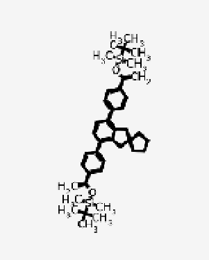 C=C(O[Si](C)(C)C(C)(C)C)c1ccc(-c2ccc(-c3ccc(C(=C)O[Si](C)(C)C(C)(C)C)cc3)c3c2CC2(CCCC2)C3)cc1